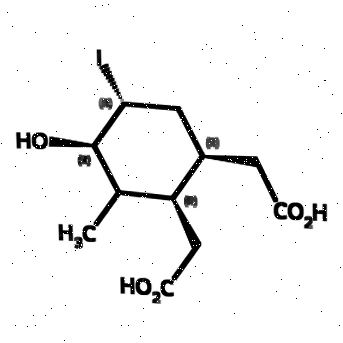 CC1[C@@H](O)[C@H](I)C[C@@H](CC(=O)O)[C@H]1CC(=O)O